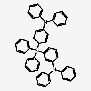 C1=CC([Si](c2ccccc2)(c2ccccc2)c2cccc(N(c3ccccc3)c3ccccc3)c2)CC=C1N(c1ccccc1)c1ccccc1